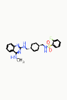 CNc1nc(NC[C@H]2CC[C@H](CNS(=O)(=O)c3ccccc3F)CC2)nc2ccccc12